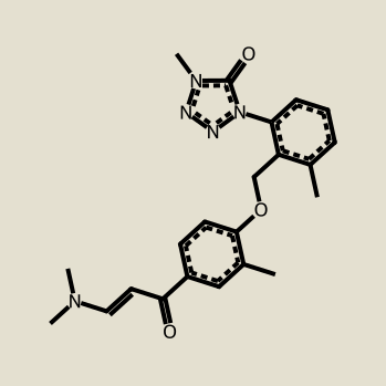 Cc1cc(C(=O)/C=C/N(C)C)ccc1OCc1c(C)cccc1-n1nnn(C)c1=O